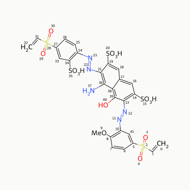 C=CS(=O)(=O)c1ccc(OC)c(/N=N/c2c(S(=O)(=O)O)cc3cc(S(=O)(=O)O)c(/N=N/c4ccc(S(=O)(=O)C=C)cc4S(=O)(=O)O)c(N)c3c2O)c1